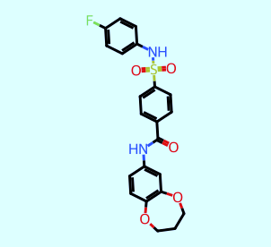 O=C(Nc1ccc2c(c1)OCCCO2)c1ccc(S(=O)(=O)Nc2ccc(F)cc2)cc1